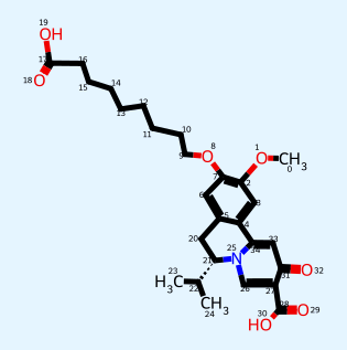 COc1cc2c(cc1OCCCCCCCCC(=O)O)C[C@@H](C(C)C)n1cc(C(=O)O)c(=O)cc1-2